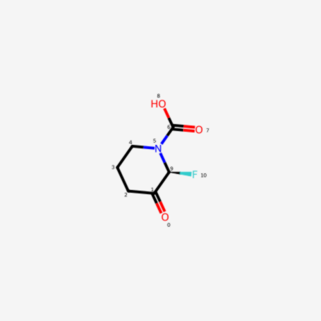 O=C1CCCN(C(=O)O)[C@H]1F